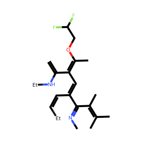 C=C(NCC)C(/C=C(\C=C/CC)C(=N/C)/C(C)=C(C)C)=C(/C)OCC(F)F